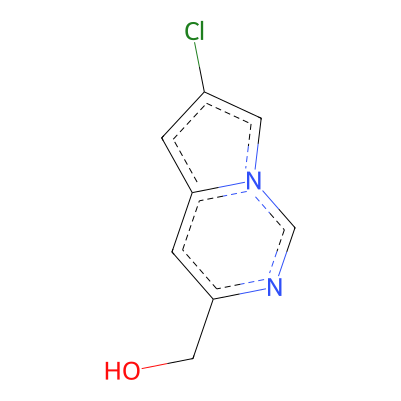 OCc1cc2cc(Cl)cn2cn1